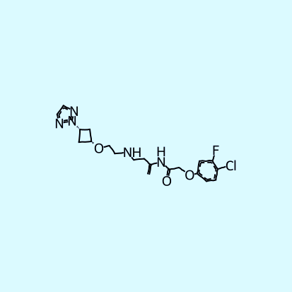 C=C(CCNCCO[C@H]1C[C@@H](n2nccn2)C1)NC(=O)COc1ccc(Cl)c(F)c1